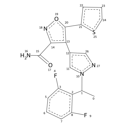 CC(c1c(F)cccc1F)n1cc(-c2c(C(N)=O)noc2-c2cccs2)cn1